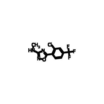 CNc1noc(-c2ccc(C(F)(F)F)cc2Cl)n1